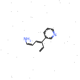 C=C/C(=C\C=C/N)c1cccnc1